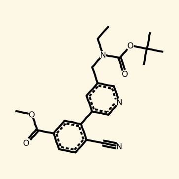 CCN(Cc1cncc(-c2cc(C(=O)OC)ccc2C#N)c1)C(=O)OC(C)(C)C